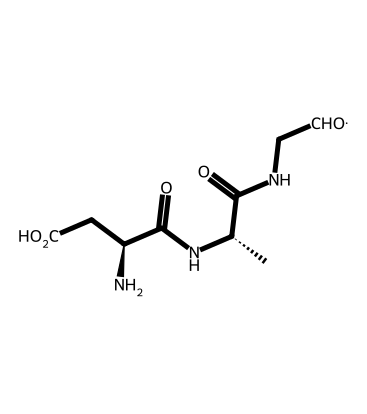 C[C@H](NC(=O)[C@@H](N)CC(=O)O)C(=O)NC[C]=O